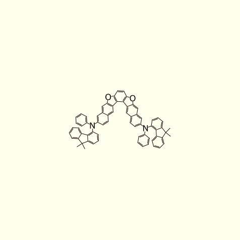 CC1(C)c2ccccc2-c2c(N(c3ccccc3)c3ccc4cc5c(cc4c3)oc3ccc4oc6cc7cc(N(c8ccccc8)c8cccc9c8-c8ccccc8C9(C)C)ccc7cc6c4c35)cccc21